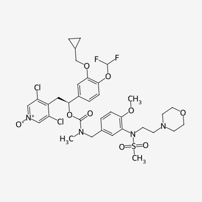 COc1ccc(CN(C)C(=O)O[C@@H](Cc2c(Cl)c[n+]([O-])cc2Cl)c2ccc(OC(F)F)c(OCC3CC3)c2)cc1N(CCN1CCOCC1)S(C)(=O)=O